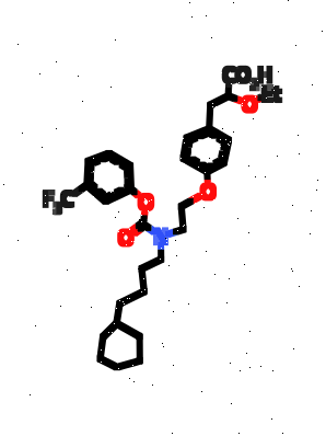 CCOC(Cc1ccc(OCCN(CCCCC2CCCCC2)C(=O)Oc2cccc(C(F)(F)F)c2)cc1)C(=O)O